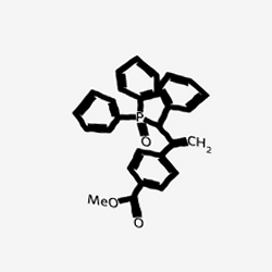 C=C(c1ccc(C(=O)OC)cc1)C(c1ccccc1)P(=O)(c1ccccc1)c1ccccc1